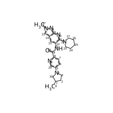 CC1CCN(c2ccc(C(=O)Nc3cc4cn(C)nc4nc3N3CCCCC3)nc2)C1